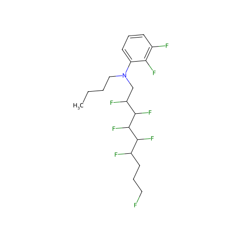 CCCCN(CC(F)C(F)C(F)C(F)C(F)CCCF)c1cccc(F)c1F